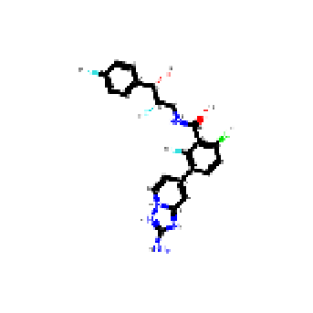 Nc1nc2cc(-c3ccc(Cl)c(C(=O)NC[C@H](F)[C@@H](O)c4ccc(F)cc4)c3F)ccn2n1